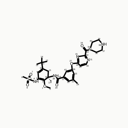 COC1=C(NS(C)(=O)=O)C=C(C(C)(C)C)C[C@@]1(I)NC(=O)c1cc(C)cc(Oc2ccnc(C(=O)N3CCNCC3)n2)c1